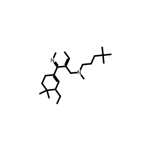 C/C=C(CN(C)CCCC(C)(C)C)\C(=N/C)C1=CC(CC)C(C)(C)CC1